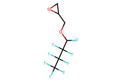 FC(OCC1CO1)C(F)(F)C(F)(F)C(F)(F)F